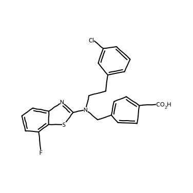 O=C(O)c1ccc(CN(CCc2cccc(Cl)c2)c2nc3cccc(F)c3s2)cc1